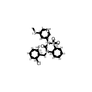 CSc1cncc(N2C(=O)N(Cc3c(F)cccc3Cl)c3ccccc3S2(=O)=O)c1